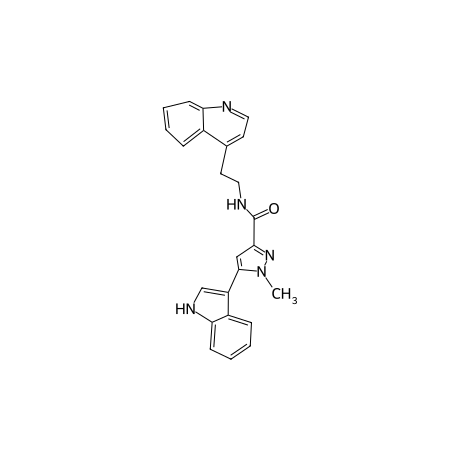 Cn1nc(C(=O)NCCc2ccnc3ccccc23)cc1-c1c[nH]c2ccccc12